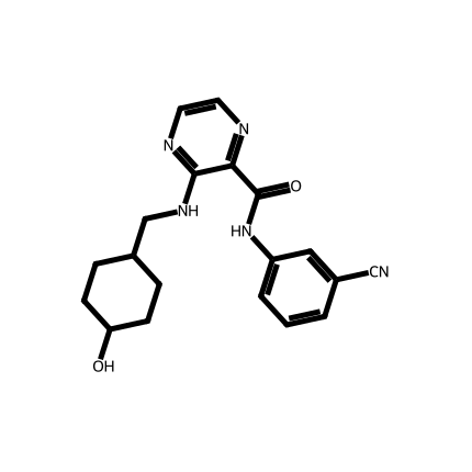 N#Cc1cccc(NC(=O)c2nccnc2NCC2CCC(O)CC2)c1